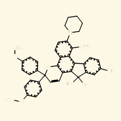 CCCCOc1ccc(C2(c3ccc(OCCCC)cc3)C=Cc3c4c(c5c(OC)c(N6CCCCC6)ccc5c3O2)-c2ccc(C(F)(F)F)cc2C4(CCC)CCC)cc1